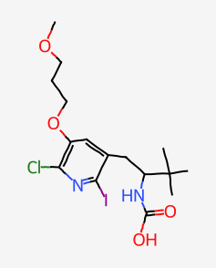 COCCCOc1cc(CC(NC(=O)O)C(C)(C)C)c(I)nc1Cl